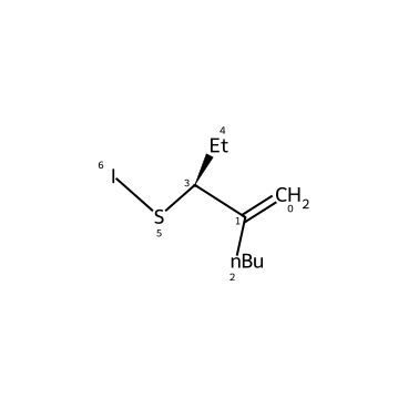 C=C(CCCC)[C@H](CC)SI